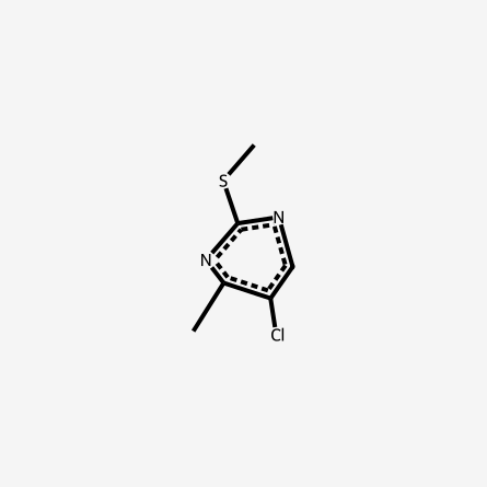 CSc1ncc(Cl)c(C)n1